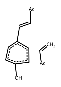 C=CC(C)=O.CC(=O)C=Cc1ccc(O)cc1